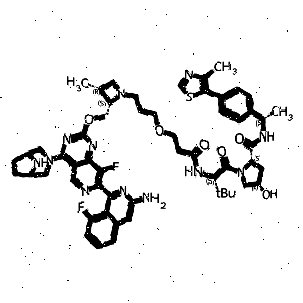 Cc1ncsc1-c1ccc([C@H](C)NC(=O)[C@@H]2C[C@@H](O)CN2C(=O)[C@@H](NC(=O)CCOCCCN2C[C@@H](C)[C@H]2COc2nc(N3CC4CCC(C3)N4)c3cnc(-c4nc(N)cc5cccc(F)c45)c(F)c3n2)C(C)(C)C)cc1